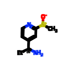 CC[C@H](N)c1ccnc([S+](C)[O-])c1